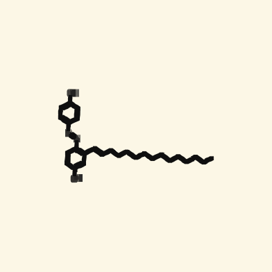 CCCCCCCCCCCCCC=Cc1cc(O)ccc1N=Nc1ccc(O)cc1